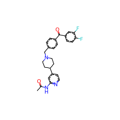 CC(=O)Nc1cc(C2CCN(Cc3ccc(C(=O)c4ccc(F)c(F)c4)cc3)CC2)ccn1